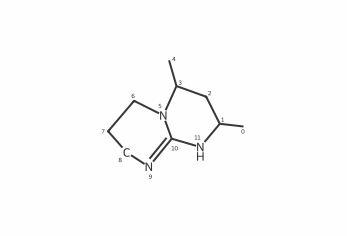 CC1CC(C)N2CCCN=C2N1